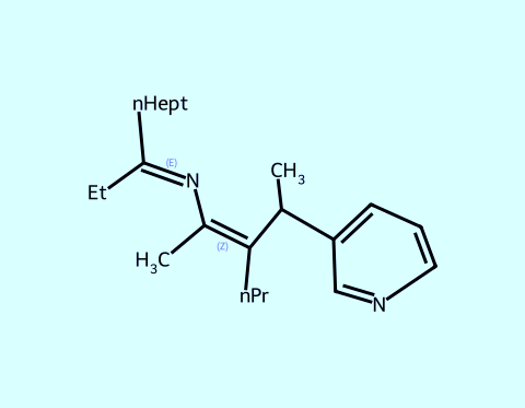 CCCCCCC/C(CC)=N/C(C)=C(/CCC)C(C)c1cccnc1